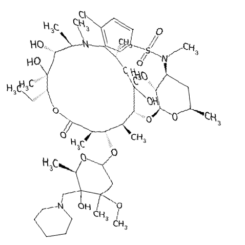 CC[C@H]1OC(=O)[C@H](C)[C@@H](OC2CC(C)(OC)C(O)(CN3CCCCC3)[C@@H](C)O2)[C@H](C)[C@@H](O[C@@H]2O[C@H](C)C[C@H](N(C)S(=O)(=O)c3ccc(Cl)cc3)[C@H]2O)[C@](C)(O)C[C@@H](C)CN(C)[C@H](C)[C@@H](O)[C@]1(C)O